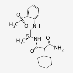 C[C@@H](CNc1ccccc1S(C)(=O)=O)NC(=O)C(C(N)=O)C1CCCCC1